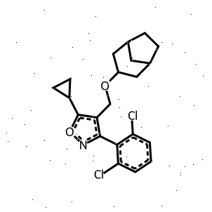 Clc1cccc(Cl)c1-c1noc(C2CC2)c1COC1CC2CCC(C2)C1